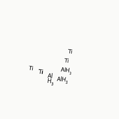 [AlH3].[AlH3].[AlH3].[Ti].[Ti].[Ti].[Ti]